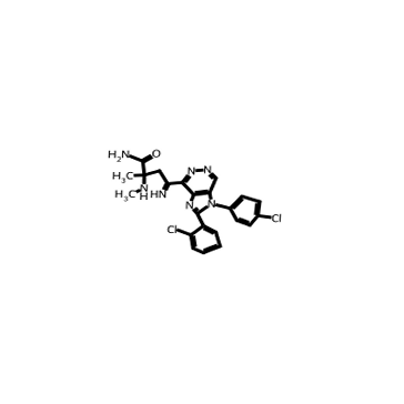 CNC(C)(CC(=N)c1nncc2c1nc(-c1ccccc1Cl)n2-c1ccc(Cl)cc1)C(N)=O